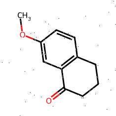 COc1ccc2c(c1)C(=O)[C]CC2